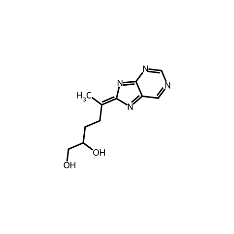 CC(CCC(O)CO)=C1N=c2cncnc2=N1